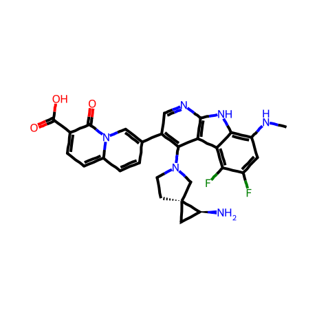 CNc1cc(F)c(F)c2c1[nH]c1ncc(-c3ccc4ccc(C(=O)O)c(=O)n4c3)c(N3CC[C@]4(C[C@@H]4N)C3)c12